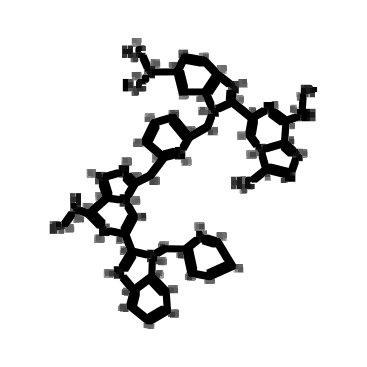 Cc1nnc2c(NC(C)C)nc(-c3nc4ccc(N(C)C)cc4n3Cc3cccc(Cc4nnc5c(NC(C)C)nc(-c6nc7ccccc7n6Cc6ccccn6)cn45)n3)cn12